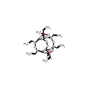 C=C[SiH]1O[Si]2(C=C)O[Si]3(C=C)OO[Si]4(C=C)O[Si](C=C)(O[SiH](C=C)O[Si](C=C)(O4)O[Si](C=C)(O1)O3)O2